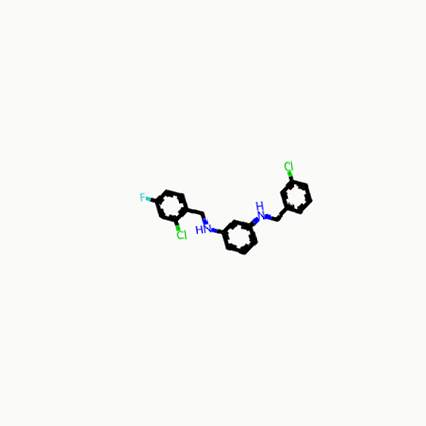 Fc1ccc(CNc2cccc(NCc3cccc(Cl)c3)c2)c(Cl)c1